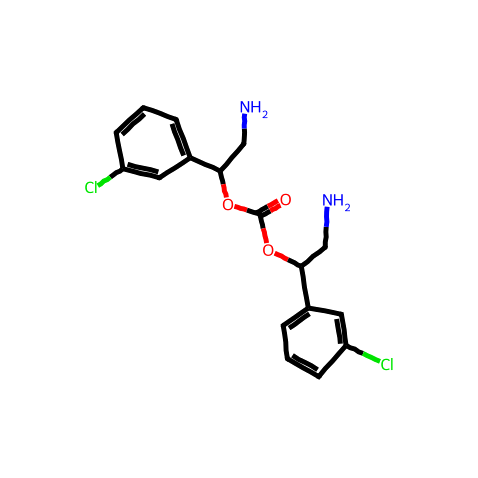 NCC(OC(=O)OC(CN)c1cccc(Cl)c1)c1cccc(Cl)c1